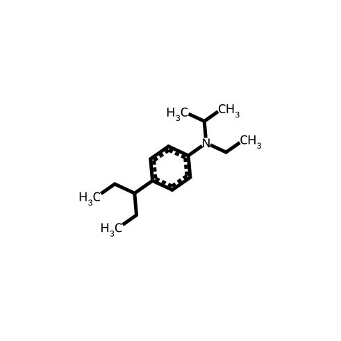 CCC(CC)c1ccc(N(CC)C(C)C)cc1